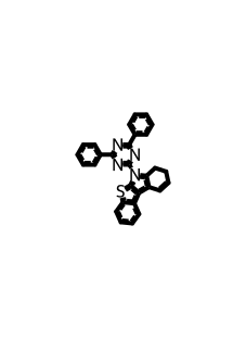 C1=Cc2c(n(-c3nc(-c4ccccc4)nc(-c4ccccc4)n3)c3sc4ccccc4c23)CC1